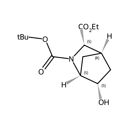 CCOC(=O)[C@@H]1[C@H]2C[C@H](O)[C@H](C2)N1C(=O)OC(C)(C)C